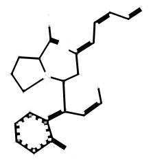 C=C/C=C\C=C(/C)CC(C(/C=C\C)=c1\ccccc1=C)N1CCCC1C(C)=O